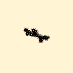 c1cc(-c2ccc3c4c(cccc24)-c2ccccc2-3)cc(-n2c3ccc(-c4ccc5c(c4)c4ccccc4n5-c4ccc5ccccc5c4)cc3c3ccc4ccccc4c32)c1